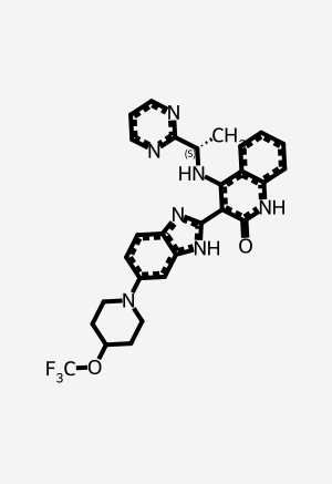 C[C@H](Nc1c(-c2nc3ccc(N4CCC(OC(F)(F)F)CC4)cc3[nH]2)c(=O)[nH]c2ccccc12)c1ncccn1